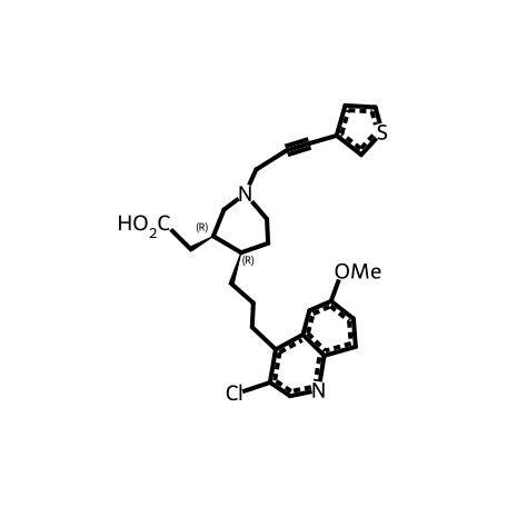 COc1ccc2ncc(Cl)c(CCC[C@@H]3CCN(CC#Cc4ccsc4)C[C@@H]3CC(=O)O)c2c1